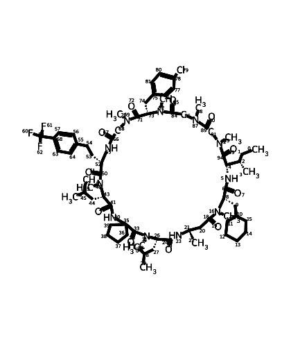 CC[C@H](C)[C@@H]1NC(=O)[C@H](CC2CCCCC2)N(C)C(=O)C[C@@H](C)NC(=O)[C@H](CC(C)C)N(C)C(=O)C2(CCCC2)NC(=O)[C@H](CC(C)C)N(C)C(=O)[C@H](CCc2ccc(C(F)(F)F)cc2)NC(=O)CN(C)C(=O)[C@H](Cc2ccc(Cl)cc2)N(C)C(=O)CN(C)C(=O)CN(C)C1=O